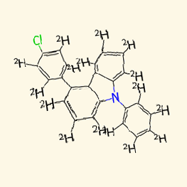 [2H]c1c([2H])c([2H])c(-n2c3c([2H])c([2H])c([2H])c([2H])c3c3c(-c4c([2H])c([2H])c(Cl)c([2H])c4[2H])c([2H])c([2H])c([2H])c32)c([2H])c1[2H]